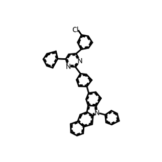 Clc1cccc(-c2cc(-c3ccccc3)nc(-c3ccc(-c4ccc5c(c4)c4cc6ccccc6cc4n5-c4ccccc4)cc3)n2)c1